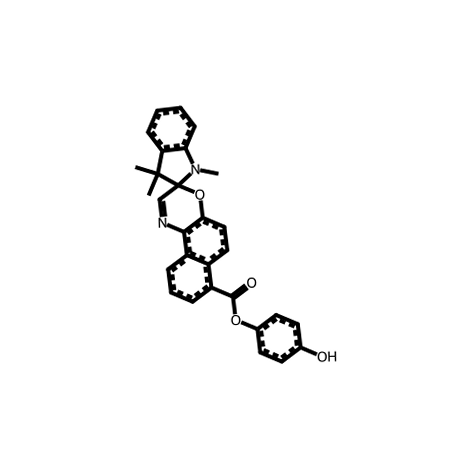 CN1c2ccccc2C(C)(C)C12C=Nc1c(ccc3c(C(=O)Oc4ccc(O)cc4)cccc13)O2